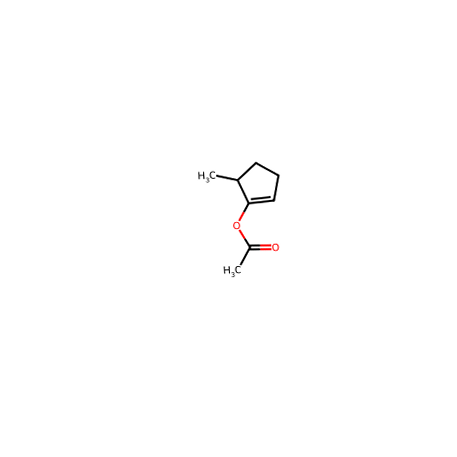 CC(=O)OC1=CCCC1C